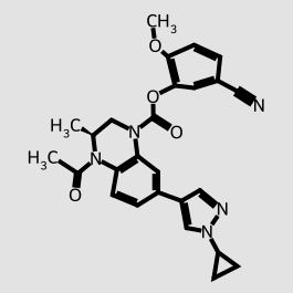 COc1ccc(C#N)cc1OC(=O)N1C[C@H](C)N(C(C)=O)c2ccc(-c3cnn(C4CC4)c3)cc21